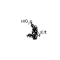 CCOC(=O)C1=C(CN2CC[C@H]3C(=O)N(c4ccc(/C=C/C(=O)O)cc4)C[C@H]3C2)NC(c2nccs2)=NC1c1cccc(F)c1C